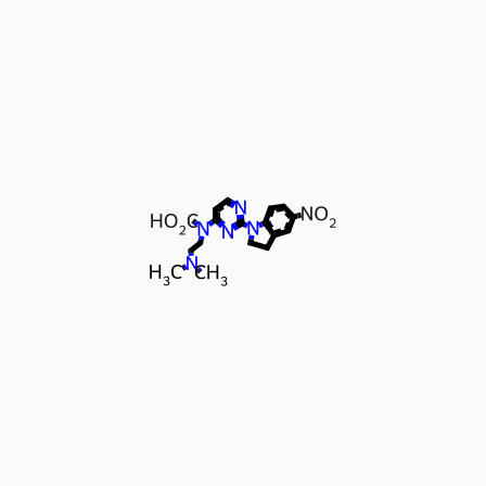 CN(C)CCN(C(=O)O)c1ccnc(N2CCc3cc([N+](=O)[O-])ccc32)n1